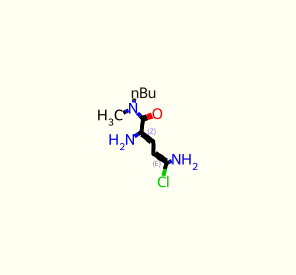 CCCCN(C)C(=O)/C(N)=C/C=C(\N)Cl